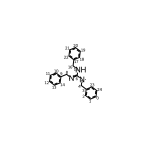 c1ccc(C[N]C(=NCc2ccccc2)NCc2ccccc2)cc1